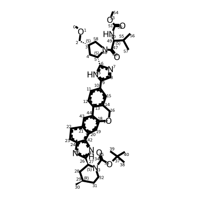 COC[C@H]1C[C@@H](c2ncc(-c3ccc4c(c3)COc3cc5c(ccc6nc([C@@H]7C[C@H](C)CCN7C(=O)OC(C)(C)C)[nH]c65)cc3-4)[nH]2)N(C(=O)[C@@H](NC(=O)OC)C(C)C)C1